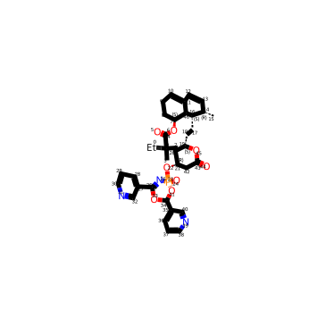 CCC(C)(C)C(=O)O[C@H]1CCC=C2C=C[C@H](C)[C@H](CC[C@H]3C[C@@H](OP4(=O)N=C(c5cccnc5)OC(c5cccnc5)O4)CC(=O)O3)C21